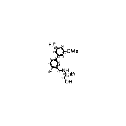 COc1cc(-c2ccc(F)c(CN[C@@H](CO)C(C)C)n2)cc(C(F)(F)F)c1